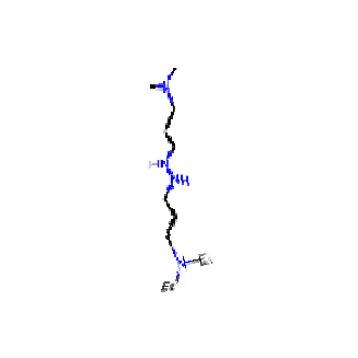 CCN(CC)CCCNNCCCN(C)C